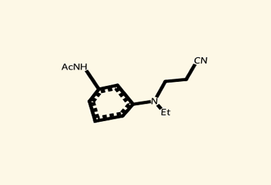 CCN(CCC#N)c1cccc(NC(C)=O)c1